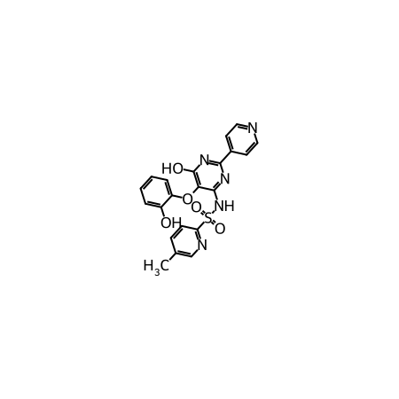 Cc1ccc(S(=O)(=O)Nc2nc(-c3ccncc3)nc(O)c2Oc2ccccc2O)nc1